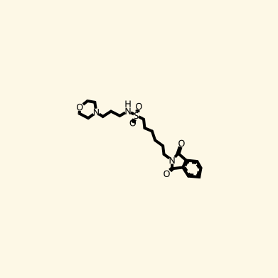 O=C1c2ccccc2C(=O)N1CCCCCCS(=O)(=O)NCCCN1CCOCC1